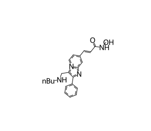 CCCCNCc1c(-c2ccccc2)nc2cc(C=CC(=O)NO)ccn12